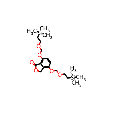 C[Si](C)(C)CCOCOc1ccc(OCOCC[Si](C)(C)C)c2c1COC2=O